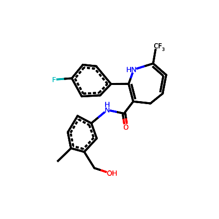 Cc1ccc(NC(=O)C2=C(c3ccc(F)cc3)NC(C(F)(F)F)=C=CC2)cc1CO